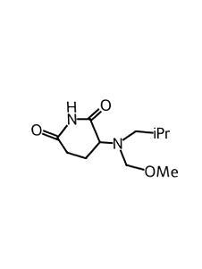 COCN(CC(C)C)C1CCC(=O)NC1=O